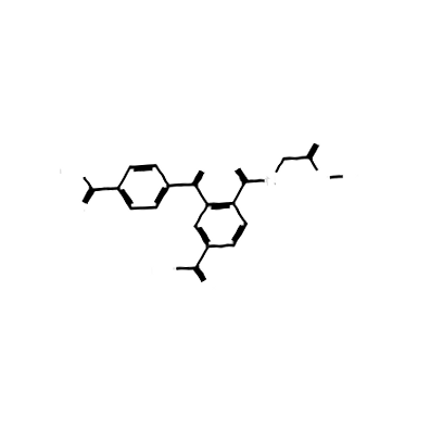 CC(C)(C)OC(=O)CNC(=O)c1ccc(C(=O)C(C)(C)C)cc1C(=O)c1ccc(C(=O)C(C)(C)C)cc1